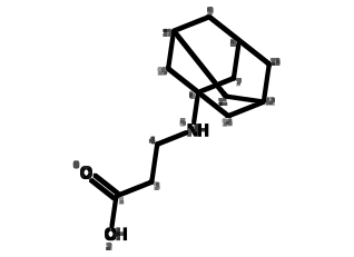 O=C(O)CCNC12CC3CC(CC(C3)C1)C2